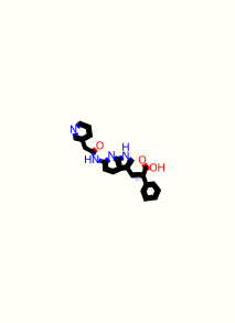 O=C(Cc1cccnc1)Nc1ccc2c(/C=C(\C(=O)O)c3ccccc3)c[nH]c2n1